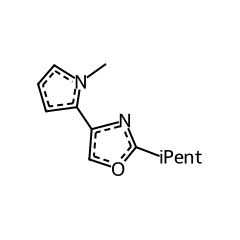 CCCC(C)c1nc(-c2cccn2C)co1